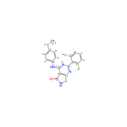 O=C1NCc2nc(-c3c(F)cccc3F)nc(Nc3ccc(SC(F)(F)F)cc3)c21